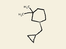 CC1(C)CCCN(CC2CC2)C1